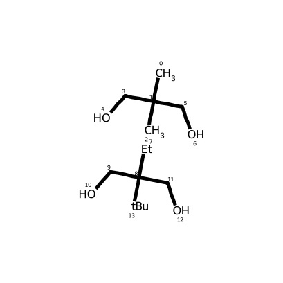 CC(C)(CO)CO.CCC(CO)(CO)C(C)(C)C